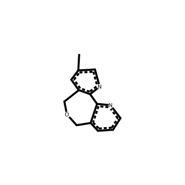 Cc1cnc2c(c1)COCc1cccnc1-2